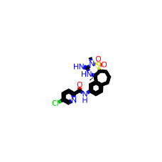 CN1C(=N)N[C@]2(C)c3cc(NC(=O)c4ccc(Cl)cn4)ccc3CCCC2S1(=O)=O